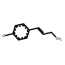 [CH2]CC=Cc1ccc(Cl)cc1